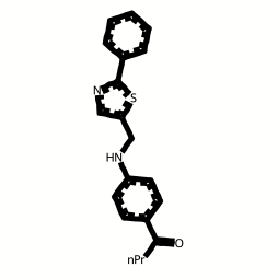 CCCC(=O)c1ccc(NCc2cnc(-c3ccccc3)s2)cc1